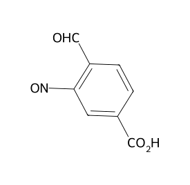 O=Cc1ccc(C(=O)O)cc1N=O